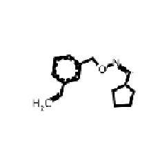 C=Cc1cccc(CO/N=[C]\C2CCCC2)c1